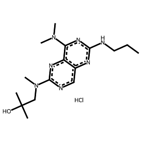 CCCNc1nc(N(C)C)c2nc(N(C)CC(C)(C)O)ncc2n1.Cl